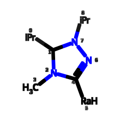 CC(C)C1N(C)[C]([RaH])=NN1C(C)C